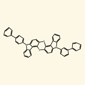 c1ccc(-c2ccc(-n3c4ccccc4c4c5c(ccc43)Sc3c(ccc4c3c3ccccc3n4-c3cccc(-c4ccccc4)c3)S5)cc2)cc1